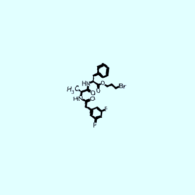 C[C@H](NC(=O)Cc1cc(F)cc(F)c1)C(=O)N[C@@H](Cc1ccccc1)C(=O)OCCCBr